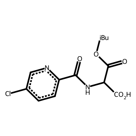 CCC(C)OC(=O)C(NC(=O)c1ccc(Cl)cn1)C(=O)O